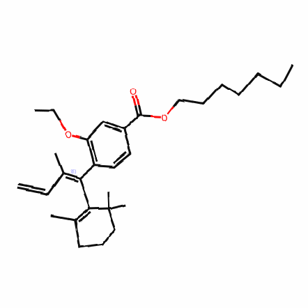 C=C/C(C)=C(\C1=C(C)CCCC1(C)C)c1ccc(C(=O)OCCCCCCC)cc1OCC